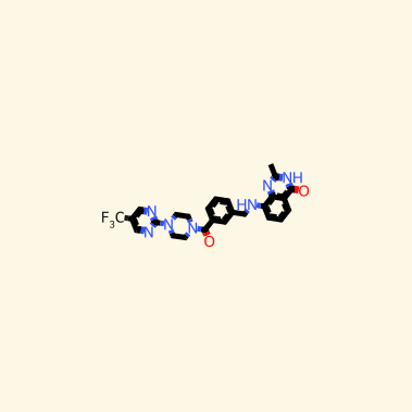 Cc1nc2c(NCc3cccc(C(=O)N4CCN(c5ncc(C(F)(F)F)cn5)CC4)c3)cccc2c(=O)[nH]1